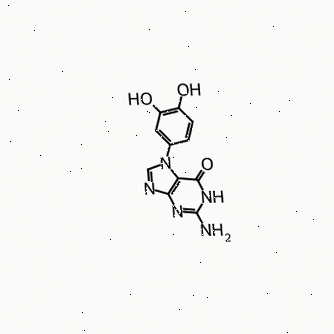 Nc1nc2ncn(-c3ccc(O)c(O)c3)c2c(=O)[nH]1